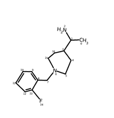 CC(N)C1CCN(Cc2ccccc2F)CC1